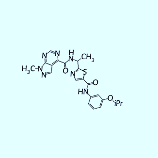 CC(C)Oc1cccc(NC(=O)c2cnc(C(C)NC(=O)c3ncnc4c3cnn4C)s2)c1